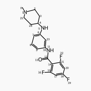 CN1CCC(Nc2cccc(NC(=O)c3c(F)cc(F)cc3F)c2)CC1